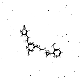 COc1cccnc1[C@H]1C[C@@H]1CCOc1cc(NCc2cnn(C)c2)nc(C)n1